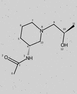 CC(=O)N[C@@H]1CCCN(C[C@@H](C)O)C1